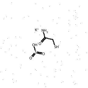 NC(=O)CS.O=[S-](=O)O.[K+]